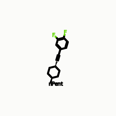 CCCCC[C@H]1CC[C@H](C#Cc2ccc(F)c(F)c2)CC1